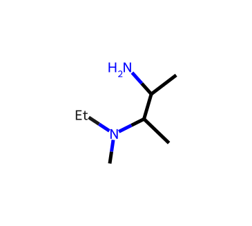 CCN(C)C(C)C(C)N